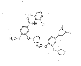 COc1ccc(C(=O)Nc2c(Cl)cncc2Cl)cc1OC1CCCC1.COc1ccc(C2CNC(=O)C2)cc1OC1CCCC1